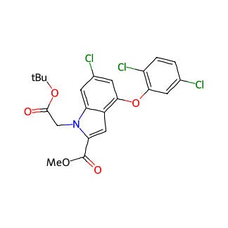 COC(=O)c1cc2c(Oc3cc(Cl)ccc3Cl)cc(Cl)cc2n1CC(=O)OC(C)(C)C